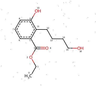 CCOC(=O)c1cccc(O)c1CCCCO